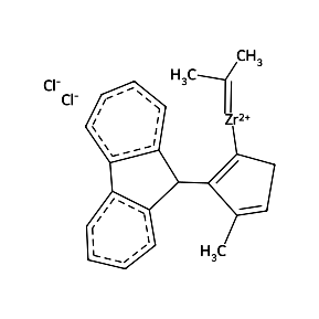 CC1=CC[C]([Zr+2]=[C](C)C)=C1C1c2ccccc2-c2ccccc21.[Cl-].[Cl-]